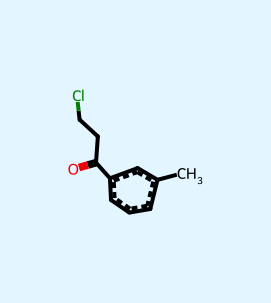 Cc1cccc(C(=O)CCCl)c1